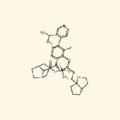 CC(C)c1ccncc1-c1ncc2c(N3CC4CCC(C3)N4C(=O)OC(C)(C)C)nc(OCC34CCCN3CCC4)nc2c1F